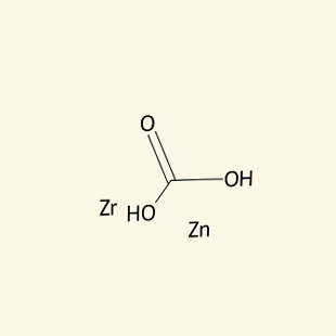 O=C(O)O.[Zn].[Zr]